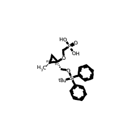 C[C@@H]1C[C@@]1(CO[Si](c1ccccc1)(c1ccccc1)C(C)(C)C)OCP(=O)(O)O